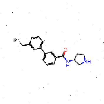 CC(C)Cc1cccc(-c2cccc(C(=O)N[C@H]3CCNC3)c2)c1